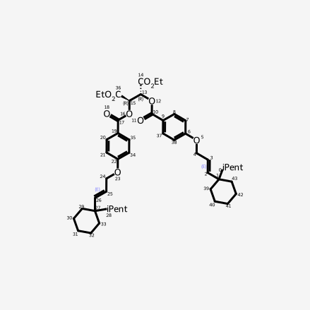 CCCC(C)C1(/C=C/COc2ccc(C(=O)O[C@@H](C(=O)OCC)[C@@H](OC(=O)c3ccc(OC/C=C/C4(C(C)CCC)CCCCC4)cc3)C(=O)OCC)cc2)CCCCC1